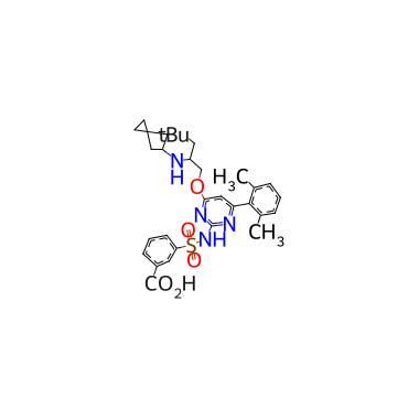 Cc1cccc(C)c1-c1cc(OCC(CC(C)(C)C)NC2CC3(CC3)C2)nc(NS(=O)(=O)c2cccc(C(=O)O)c2)n1